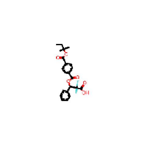 CCC(C)(C)OC(=O)c1ccc(C(=O)OC(c2ccccc2)C(F)(F)C(=O)O)cc1